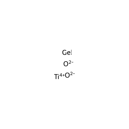 [Ge].[O-2].[O-2].[Ti+4]